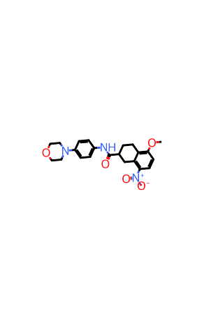 COc1ccc([N+](=O)[O-])c2c1CCC(C(=O)Nc1ccc(N3CCOCC3)cc1)C2